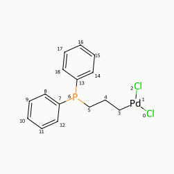 [Cl][Pd]([Cl])[CH2]CCP(c1ccccc1)c1ccccc1